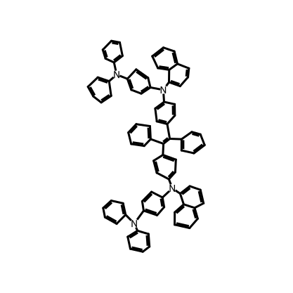 c1ccc(/C(=C(/c2ccccc2)c2ccc(N(c3ccc(N(c4ccccc4)c4ccccc4)cc3)c3cccc4ccccc34)cc2)c2ccc(N(c3ccc(N(c4ccccc4)c4ccccc4)cc3)c3cccc4ccccc34)cc2)cc1